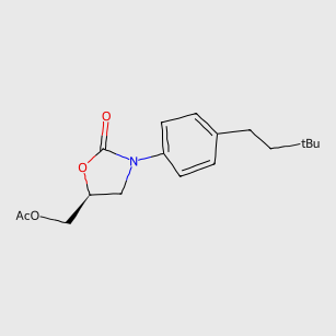 CC(=O)OC[C@@H]1CN(c2ccc(CCC(C)(C)C)cc2)C(=O)O1